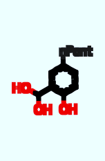 CCCCCc1ccc(O)c(C(O)O)c1